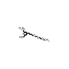 CCOCCOCCOCCC=Cc1cc(CO)nc(COC)c1